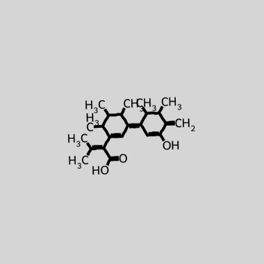 C=C1C(O)=C/C(=C2\C=C(C(C(=O)O)=C(C)C)C(C)C(C)C2C)C(C)C1C